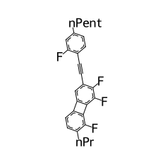 CCCCCc1ccc(C#Cc2cc3c(c(F)c2F)-c2c-3ccc(CCC)c2F)c(F)c1